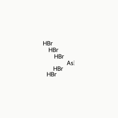 Br.Br.Br.Br.Br.[As]